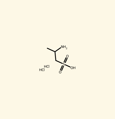 CC(N)CS(=O)(=O)O.Cl.Cl